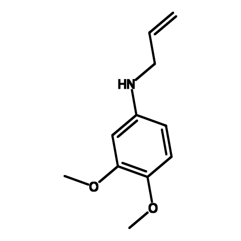 C=CCNc1ccc(OC)c(OC)c1